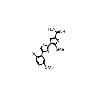 COc1ccc(Br)c(-c2csc(-c3cc(C(=N)N)sc3SC)n2)c1